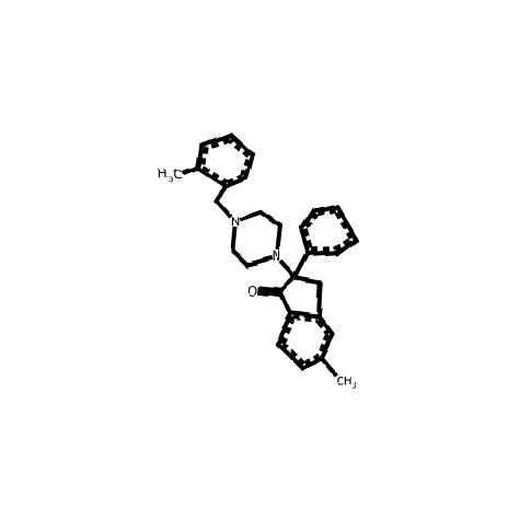 Cc1ccc2c(c1)CC(c1ccccc1)(N1CCN(Cc3ccccc3C)CC1)C2=O